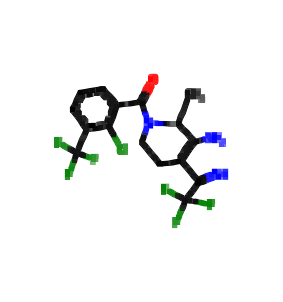 CC1C(N)=C(C(=N)C(F)(F)F)CCN1C(=O)c1cccc(C(F)(F)F)c1Cl